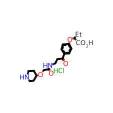 CCC(Oc1ccc(C(=O)CCNC(=O)COC2CCNCC2)cc1)C(=O)O.Cl